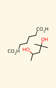 CC(O)CC(C)(C)O.O=C(O)CCCCC(=O)O